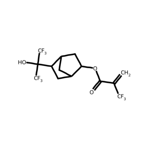 C=C(C(=O)OC1CC2CC1CC2C(O)(C(F)(F)F)C(F)(F)F)C(F)(F)F